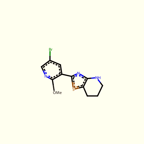 COc1ncc(Br)cc1-c1nc2c(s1)CCCN2